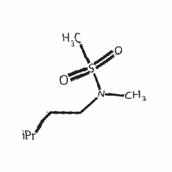 CC(C)[CH]CN(C)S(C)(=O)=O